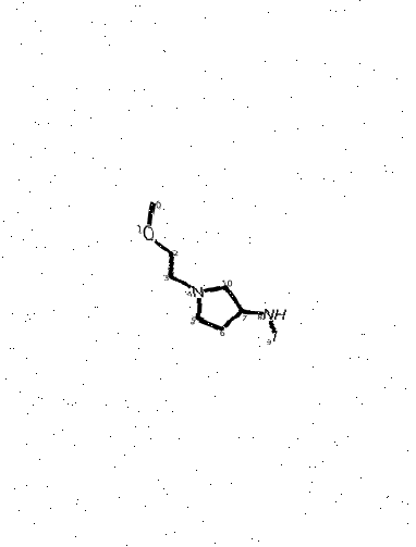 COCCN1CCC(NI)C1